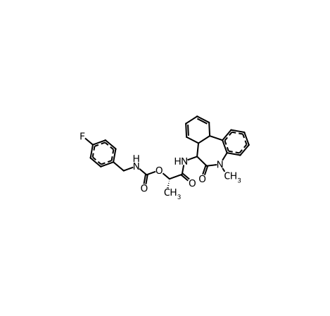 C[C@H](OC(=O)NCc1ccc(F)cc1)C(=O)NC1C(=O)N(C)c2ccccc2C2C=CC=CC12